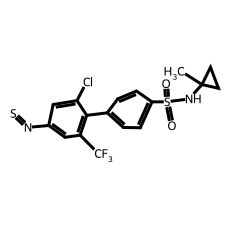 CC1(NS(=O)(=O)c2ccc(-c3c(Cl)cc(N=S)cc3C(F)(F)F)cc2)CC1